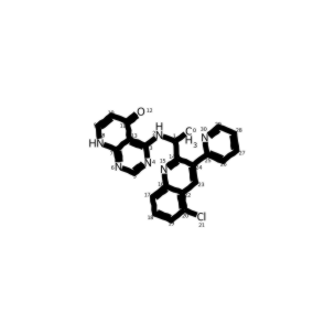 CC(Nc1ncnc2[nH]ccc(=O)c12)c1nc2cccc(Cl)c2cc1-c1ccccn1